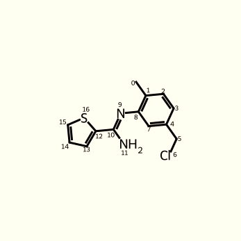 Cc1ccc(CCl)cc1N=C(N)c1cccs1